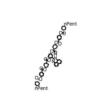 CCCCC[C@H]1CC[C@H](C(=O)Oc2ccc(C(=O)OC3CCC(C(=O)Oc4ccc(OC(=O)C5CCC(OC(=O)c6ccc(OC(=O)[C@H]7CC[C@H](CCCCC)CC7)cc6)CC5)c(C5=Nc6cccc7cccc(c67)N5)c4)CC3)cc2)CC1